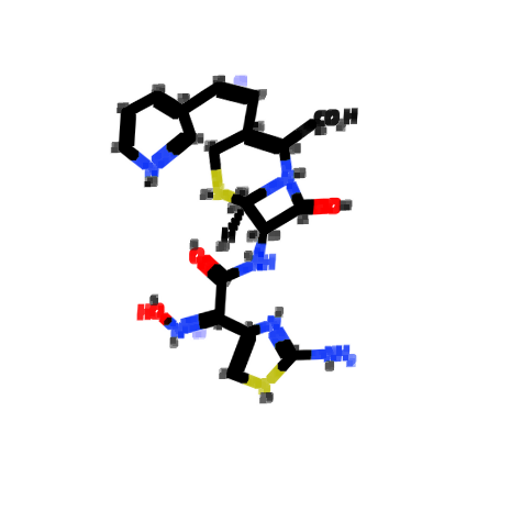 Nc1nc(/C(=N/O)C(=O)N[C@@H]2C(=O)N3C(C(=O)O)=C(/C=C\c4cccnc4)CS[C@H]23)cs1